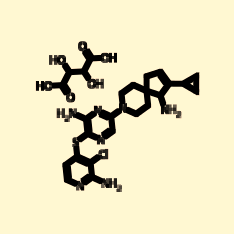 Nc1nc(N2CCC3(CC=C(C4CC4)C3N)CC2)cnc1Sc1ccnc(N)c1Cl.O=C(O)C(O)C(O)C(=O)O